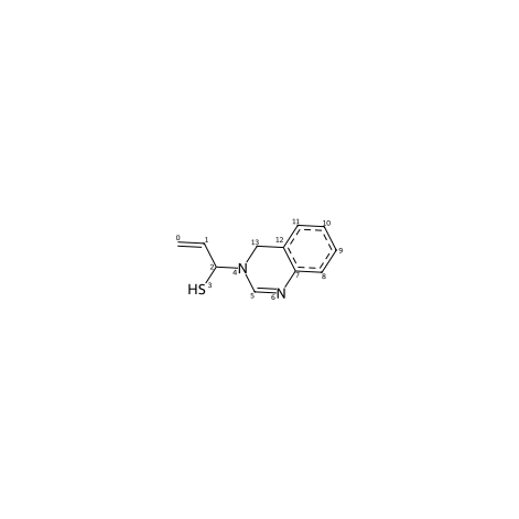 C=CC(S)N1C=Nc2ccccc2C1